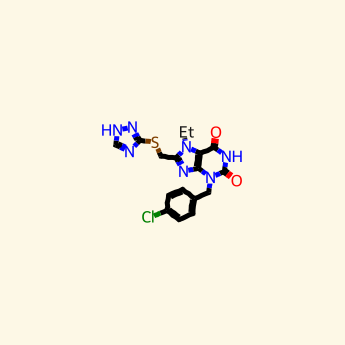 CCn1c(CSc2nc[nH]n2)nc2c1c(=O)[nH]c(=O)n2Cc1ccc(Cl)cc1